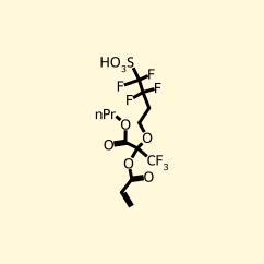 C=CC(=O)OC(OCCC(F)(F)C(F)(F)S(=O)(=O)O)(C(=O)OCCC)C(F)(F)F